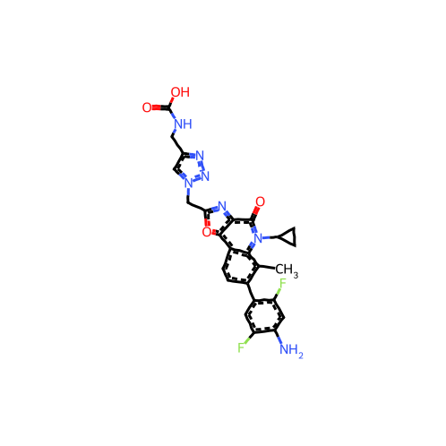 Cc1c(-c2cc(F)c(N)cc2F)ccc2c3oc(Cn4cc(CNC(=O)O)nn4)nc3c(=O)n(C3CC3)c12